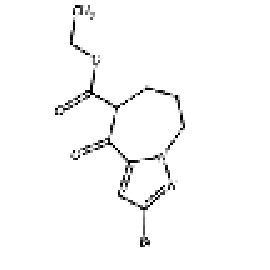 CCOC(=O)C1CCCn2nc(Br)cc2C1=O